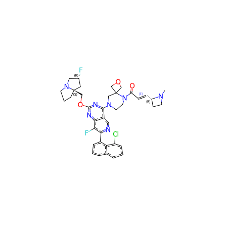 CN1CC[C@@H]1/C=C/C(=O)N1CCN(c2nc(OC[C@@]34CCCN3C[C@H](F)C4)nc3c(F)c(-c4cccc5cccc(Cl)c45)ncc23)CC12COC2